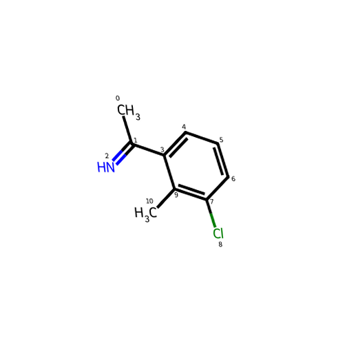 CC(=N)c1cccc(Cl)c1C